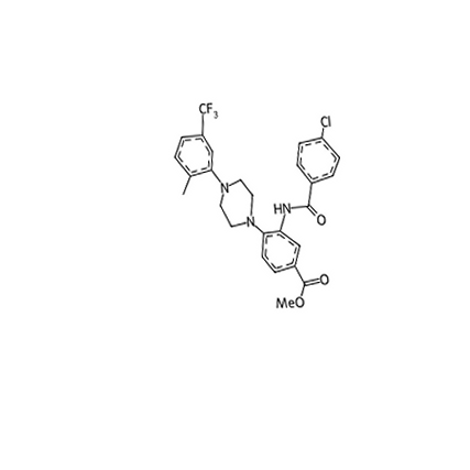 COC(=O)c1ccc(N2CCN(c3cc(C(F)(F)F)ccc3C)CC2)c(NC(=O)c2ccc(Cl)cc2)c1